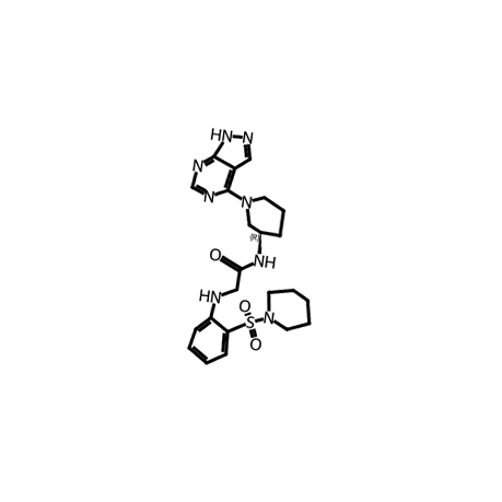 O=C(CNc1ccccc1S(=O)(=O)N1CCCCC1)N[C@@H]1CCCN(c2ncnc3[nH]ncc23)C1